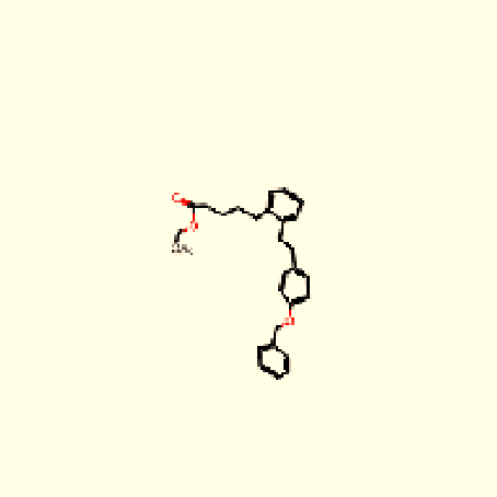 CC(=O)OCOC(=O)CCCCc1ccccc1CCc1ccc(OCc2ccccc2)cc1